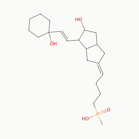 CP(=O)(O)CCC/C=C1/CC2CC(O)C(/C=C/C3(O)CCCCC3)C2C1